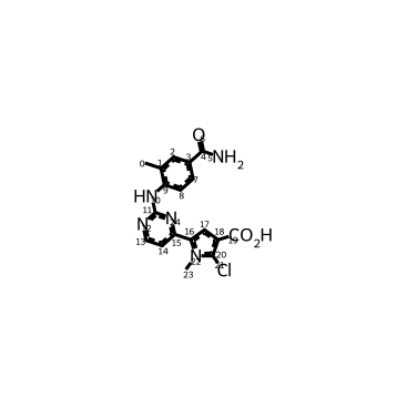 Cc1cc(C(N)=O)ccc1Nc1nccc(-c2cc(C(=O)O)c(Cl)n2C)n1